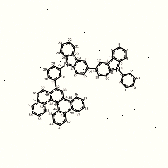 c1ccc(-n2c3ccccc3c3cc(-c4ccc5c(c4)c4ccccc4n5-c4cccc(-c5cc6c7ccccc7c7ccccc7c6c6c5ccc5ccccc56)c4)ccc32)cc1